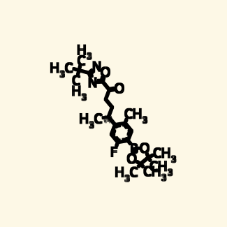 Cc1cc(B2OC(C)(C)C(C)(C)O2)c(F)cc1[C@@H](C)CCC(=O)c1nc(C(C)(C)C)no1